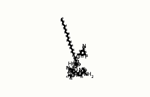 CCCCCCCCCCCCCCCCCCCC[C@@H](COP(=O)(O)OC[C@@]1(C#N)O[C@@H](c2ccc3c(N)ncnn23)[C@@H]2OC(C)(C)O[C@@H]21)OCc1cc(F)cc(C#N)c1